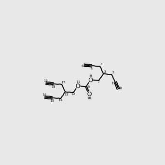 C#CCC(CC#C)COC(=O)OCC(CC#C)CC#C